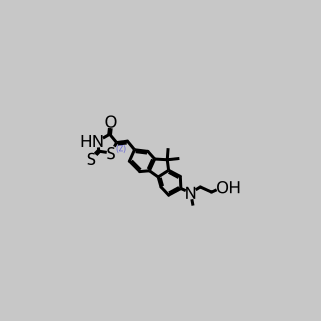 CN(CCO)c1ccc2c(c1)C(C)(C)c1cc(/C=C3\SC(=S)NC3=O)ccc1-2